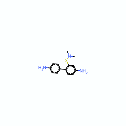 CN(C)Sc1cc(N)ccc1-c1ccc(N)cc1